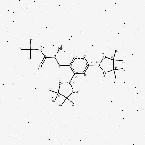 CC(C)(C)OC(=O)C(N)Cc1ccc(B2OC(C)(C)C(C)(C)O2)cc1B1OC(C)(C)C(C)(C)O1